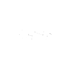 C=C(C)C(=O)OCC(F)C(F)C(F)C(F)C(F)CF